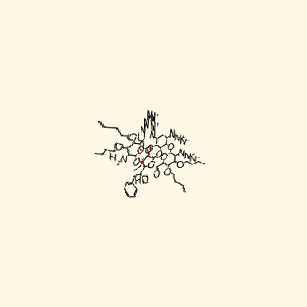 CCCCOC1C(N=[N+]=[N-])CC(N=[N+]=[N-])C(OC2OC(C=O)C(OCCCC)C(OCCCC)C2N=[N+]=[N-])C1OC1OC(C(O)Cc2ccccc2)C(OC2OC(CN=[N+]=[N-])C(OCCCC)C(OCCCC)C2N)C1OCCCC